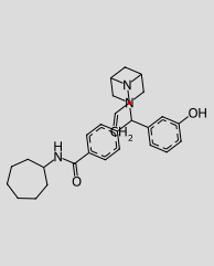 C=CCN1C2CC1CN(C(c1ccc(C(=O)NC3CCCCCC3)cc1)c1cccc(O)c1)C2